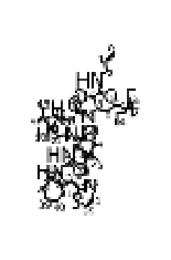 C=CCNC(=O)C(=O)C(CCC(F)(F)F)NC(=O)[C@@H]1[C@@H]2[C@H](CN1C(=O)[C@@H](NC(=O)NC1(Cc3nccs3)CCCCC1)C(C)(C)C)C2(C)C